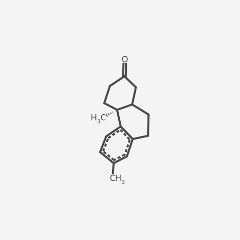 Cc1ccc2c(c1)CCC1CC(=O)CC[C@]21C